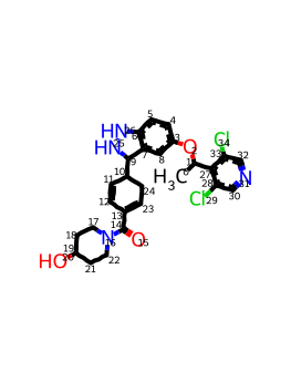 CC(Oc1ccc2c(c1)C(C1C=CC(C(=O)N3CCC(O)CC3)=CC1)NN2)c1c(Cl)cncc1Cl